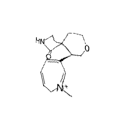 C[N+]1=CC([C@@H]2COCCC23CNC3=O)=CC=CC1